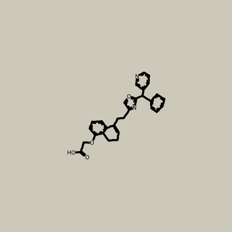 O=C(O)COc1cccc2c1CCC=C2CCc1coc(C(c2ccccc2)c2cccnc2)n1